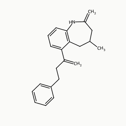 C=C1CC(C)Cc2c(cccc2C(=C)CCc2ccccc2)N1